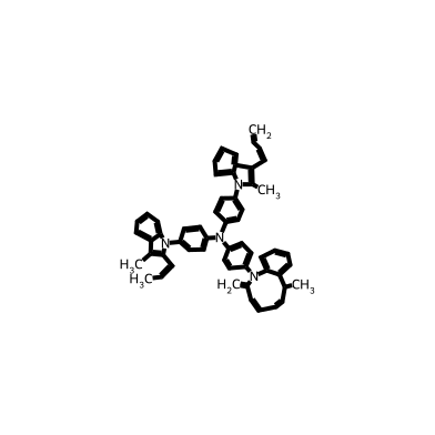 C=C/C=C\c1c(C)n(-c2ccc(N(c3ccc(N4C(=C)/C=C\C=C/C(C)c5ccccc54)cc3)c3ccc(-n4c(/C=C\C)c(C)c5ccccc54)cc3)cc2)c2ccccc12